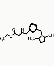 CCOC(=O)CNCc1cccc(CN2C(C)CCC2C)c1